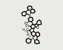 CCc1cc(N(c2ccccc2)c2ccccc2-c2ccccc2)ccc1-c1c(CC)c2c(c3oc4ccccc4c13)-c1ccc(N(c3ccccc3)c3ccccc3-c3ccccc3)cc1C2(C)C